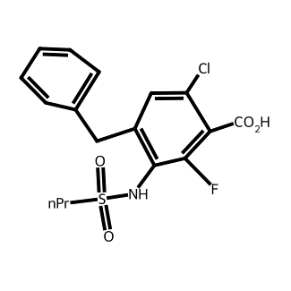 CCCS(=O)(=O)Nc1c(Cc2ccccc2)cc(Cl)c(C(=O)O)c1F